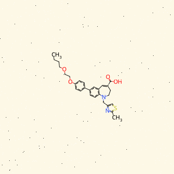 CCCCOCCOc1ccc(-c2ccc3c(c2)C=C(C(=O)O)CCN3Cc2csc(C)n2)cc1